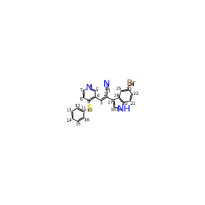 N#CC(=Cc1cnccc1Sc1ccccc1)c1c[nH]c2ccc(Br)cc12